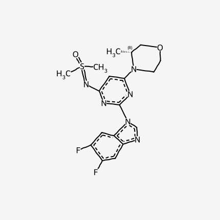 C[C@@H]1COCCN1c1cc(N=S(C)(C)=O)nc(-n2cnc3cc(F)c(F)cc32)n1